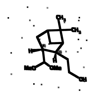 COC(OC)[C@@H]1CC2CC([C@H]1CCO)C2(C)C